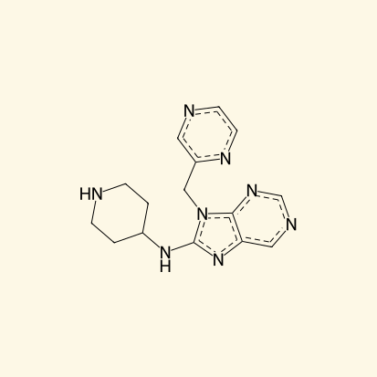 c1cnc(Cn2c(NC3CCNCC3)nc3cncnc32)cn1